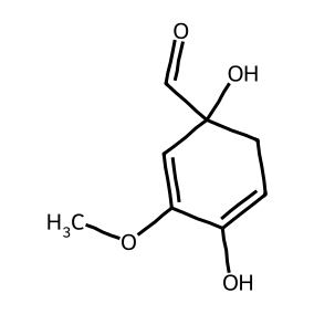 COC1=CC(O)(C=O)CC=C1O